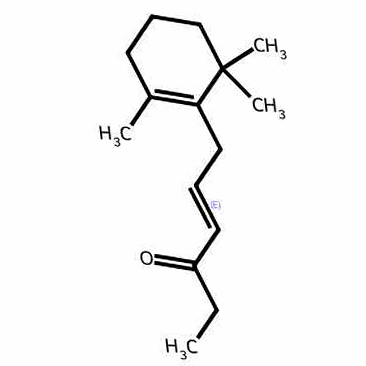 CCC(=O)/C=C/CC1=C(C)CCCC1(C)C